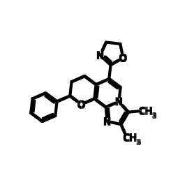 Cc1nc2c3c(c(C4=NCCO4)cn2c1C)CCC(c1ccccc1)O3